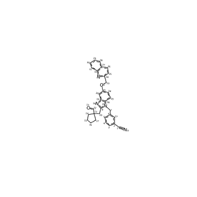 N#Cc1cccc(Cn2c(CC3([C]=O)CCCC3)nc3cc(OCc4ccc5ccccc5n4)ccc32)c1